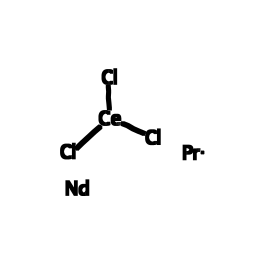 [Cl][Ce]([Cl])[Cl].[Nd].[Pr]